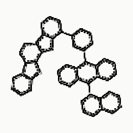 c1cc(-c2c3ccccc3c(-c3cccc4ccccc34)c3ccccc23)cc(-c2cccc3c2sc2c3ccc3c4ccccc4sc32)c1